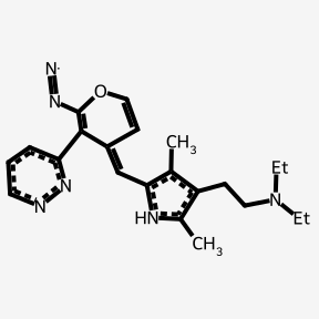 CCN(CC)CCc1c(C)[nH]c(C=C2C=COC(N=[N])=C2c2cccnn2)c1C